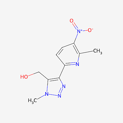 Cc1nc(-c2nnn(C)c2CO)ccc1[N+](=O)[O-]